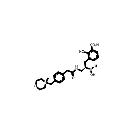 C[N+]1(Cc2ccc(CC(=O)NC[C@@H](Cc3cccc(C(=O)O)c3O)B(O)O)cc2)CCOCC1